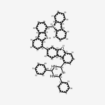 c1ccc(C2=NC(c3cccc4oc5cc(-c6cccc7c6sc6c(-n8c9ccccc9c9ccccc98)cccc67)ccc5c34)NC(c3ccccc3)N2)cc1